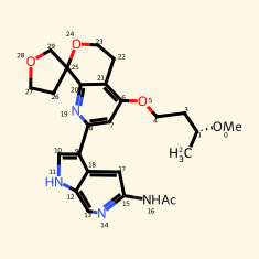 CO[C@H](C)CCOc1cc(-c2c[nH]c3cnc(NC(C)=O)cc23)nc2c1CCOC21CCOC1